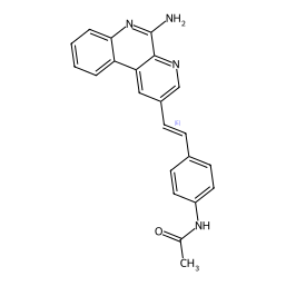 CC(=O)Nc1ccc(/C=C/c2cnc3c(N)nc4ccccc4c3c2)cc1